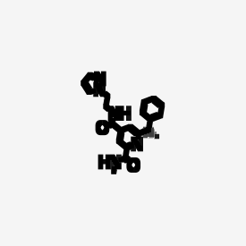 CNC(=O)c1cc(C(=O)NCCn2cccn2)cc([C@@H](C)c2ccccc2)n1